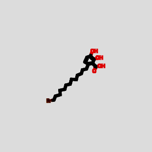 O=C(O)c1c(CCCCCCCCCCCCCBr)ccc(O)c1O